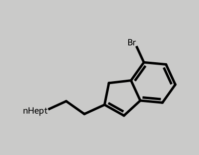 CCCCCCCCCC1=Cc2cccc(Br)c2C1